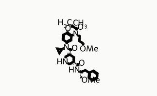 COCCCN1C(=O)C(C)(C)Oc2ccc(N(C(=O)[C@H]3CNC[C@@H](C(=O)N[C@@H](COC)Cc4ccccc4)C3)C3CC3)cc21